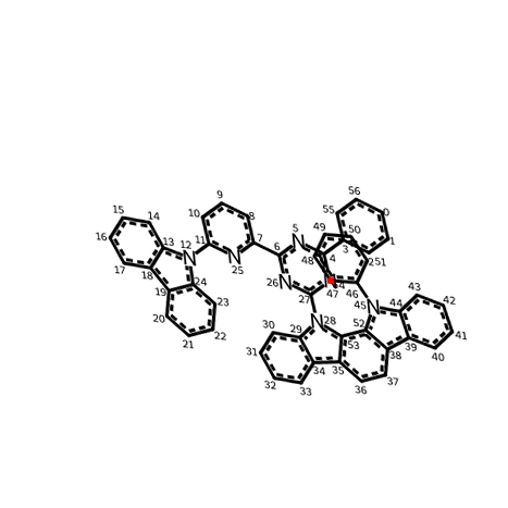 c1ccc(-c2nc(-c3cccc(-n4c5ccccc5c5ccccc54)n3)nc(-n3c4ccccc4c4ccc5c6ccccc6n(-c6ccccc6)c5c43)n2)cc1